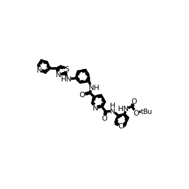 CC(C)(C)OC(=O)Nc1ccccc1NC(=O)c1ccc(C(=O)Nc2cccc(Nc3nc(-c4cccnc4)cs3)c2)cn1